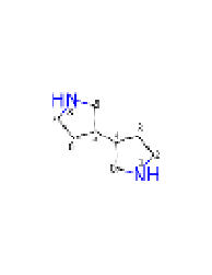 [CH]1NCCC1C1[CH]CNC1